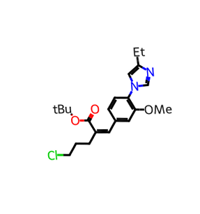 CCc1cn(-c2ccc(/C=C(/CCCCl)C(=O)OC(C)(C)C)cc2OC)cn1